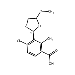 COC1CS[C@H](c2c(Cl)ccc(C(=O)O)c2C)O1